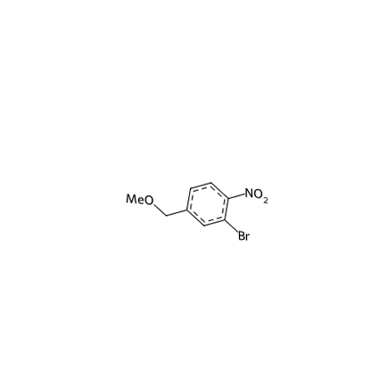 COCc1ccc([N+](=O)[O-])c(Br)c1